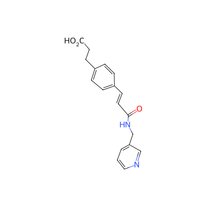 O=C(O)CCc1ccc(/C=C/C(=O)NCc2cccnc2)cc1